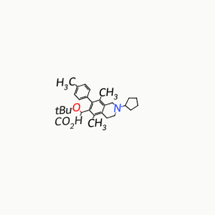 Cc1ccc(-c2c(C)c3c(c(C)c2C(OC(C)(C)C)C(=O)O)CCN(C2CCCC2)C3)cc1